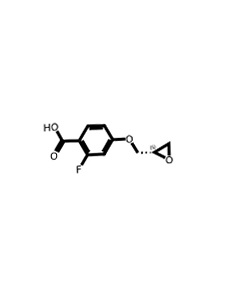 O=C(O)c1ccc(OC[C@@H]2CO2)cc1F